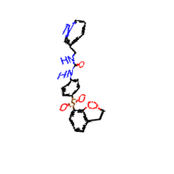 O=C(NCc1cccnc1)Nc1ccc(S(=O)(=O)c2cccc3c2OCC3)cc1